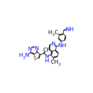 C=C(Nc1c(C)ccc2c(Nc3ccc(C=N)c(C)c3)nccc12)c1csc2c(N)ncnc12